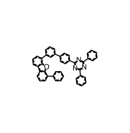 c1ccc(-c2nc(-c3ccccc3)nc(-c3ccc(-c4cccc(-c5cccc6c5oc5c(-c7ccccc7)cccc56)c4)cc3)n2)cc1